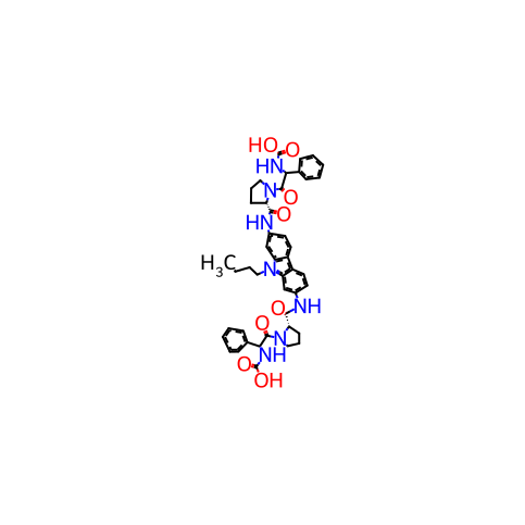 CCCCn1c2cc(NC(=O)[C@@H]3CCCN3C(=O)C(NC(=O)O)c3ccccc3)ccc2c2ccc(NC(=O)[C@@H]3CCCN3C(=O)C(NC(=O)O)c3ccccc3)cc21